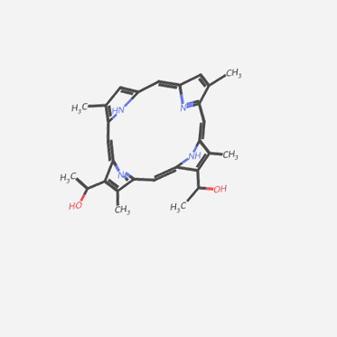 CC1=Cc2cc3cc(C)c(cc4nc(cc5[nH]c(cc1n2)c(C)c5C(C)O)C(C)=C4C(C)O)[nH]3